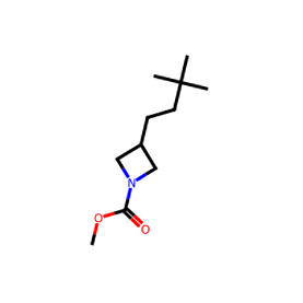 COC(=O)N1CC(CCC(C)(C)C)C1